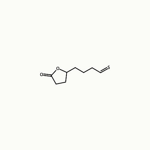 O=C1CCC(CCCC=S)O1